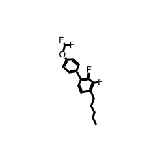 CCCCCc1ccc(-c2ccc(OC(F)F)cc2)c(F)c1F